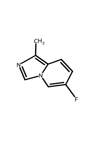 Cc1ncn2cc(F)ccc12